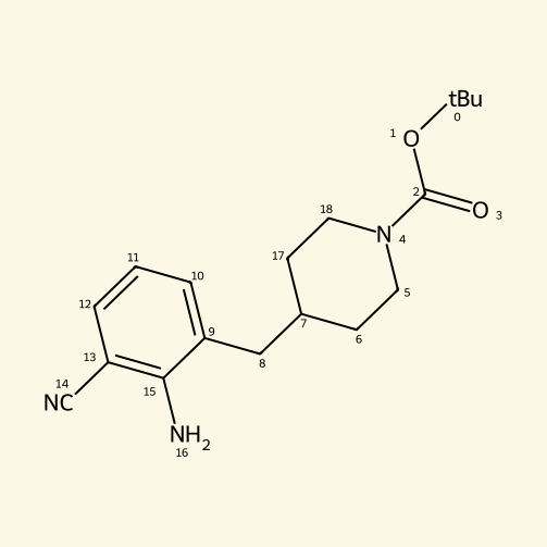 CC(C)(C)OC(=O)N1CCC(Cc2cccc(C#N)c2N)CC1